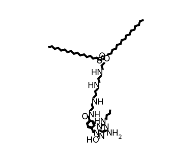 CCCCCCCCCCCCCCCCOP(=O)(CCCNCCCNCCCCNCCCNC(=O)c1ccc(Cn2c(O)nc3c(N)nc(NCCCC)nc32)cc1)OCCCCCCCCCCCCCCCC